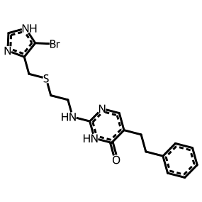 O=c1[nH]c(NCCSCc2nc[nH]c2Br)ncc1CCc1ccccc1